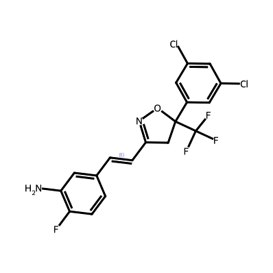 Nc1cc(/C=C/C2=NOC(c3cc(Cl)cc(Cl)c3)(C(F)(F)F)C2)ccc1F